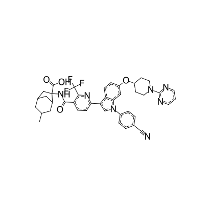 CC1CC2CC(C1)C(NC(=O)c1ccc(-c3cn(-c4ccc(C#N)cc4)c4cc(OC5CCN(c6ncccn6)CC5)ccc34)nc1C(F)(F)F)(C(=O)O)C2